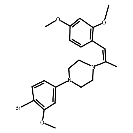 COc1ccc(C=C(C)N2CCN(c3ccc(Br)c(OC)c3)CC2)c(OC)c1